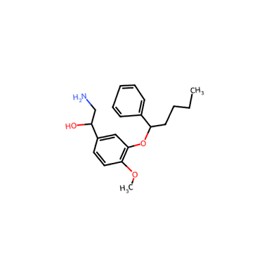 CCCCC(Oc1cc(C(O)CN)ccc1OC)c1ccccc1